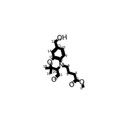 COC(=O)CCCN1c2ccc(CO)cc2OC(C)(C)C1C=O